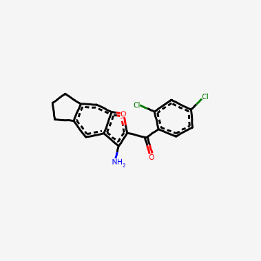 Nc1c(C(=O)c2ccc(Cl)cc2Cl)oc2cc3c(cc12)CCC3